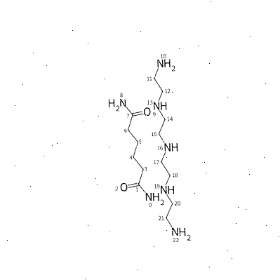 NC(=O)CCCCC(N)=O.NCCNCCNCCNCCN